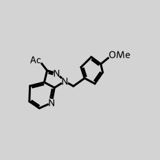 COc1ccc(Cn2nc(C(C)=O)c3cccnc32)cc1